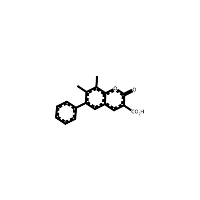 Cc1c(-c2ccccc2)cc2cc(C(=O)O)c(=O)oc2c1C